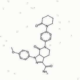 COc1ccc(N2N=C(C(N)=O)C3CCN(c4ccc(N5CCCCC5=O)cc4)C(=O)C32)cc1